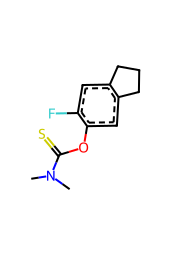 CN(C)C(=S)Oc1cc2c(cc1F)CCC2